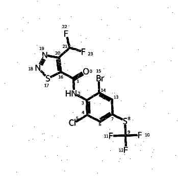 O=C(Nc1c(Cl)cc(SC(F)(F)F)cc1Br)c1snnc1C(F)F